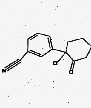 N#Cc1cccc(C2(Cl)CCCCC2=O)c1